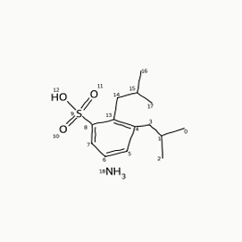 CC(C)Cc1cccc(S(=O)(=O)O)c1CC(C)C.N